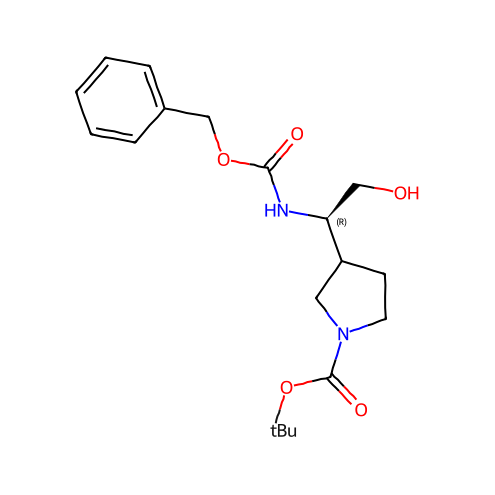 CC(C)(C)OC(=O)N1CCC([C@H](CO)NC(=O)OCc2ccccc2)C1